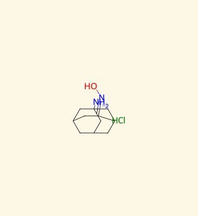 Cl.NC12CC3C/C(=N\O)C(CC(C3)C1)C2